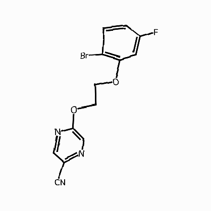 N#Cc1cnc(OCCOc2cc(F)ccc2Br)cn1